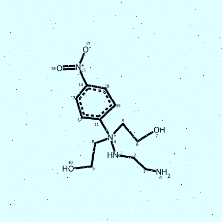 NCCN[N+](CCO)(CCO)c1ccc([N+](=O)[O-])cc1